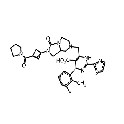 Cc1c(F)cccc1[C@@H]1N=C(c2nccs2)NC(CN2CCN3C(=O)N(C45CC(C(=O)N6CCCC6)(C4)C5)CC3C2)=C1C(=O)O